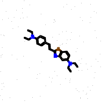 CCN(CC)c1ccc(/C=C/c2nc3cc(N(CC)CC)ccc3s2)cc1